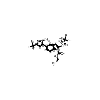 CCOC(=O)n1c(OS(=O)(=O)C(F)(F)F)cc2cc(-c3cc(C(F)(F)F)nn3C)ccc21